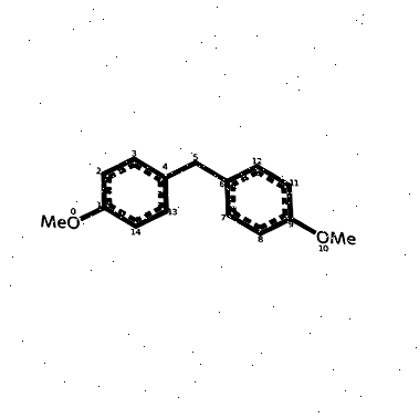 COc1ccc(Cc2ccc(OC)cc2)cc1